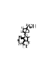 CCc1ncnc2c1c(F)cn2C1CCC(CO)O1